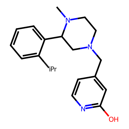 CC(C)c1ccccc1C1CN(Cc2ccnc(O)c2)CCN1C